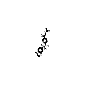 CC(=O)SCC(=O)c1ccc(NS(=O)(=O)c2ccc3c(c2)OCCN3C)nc1